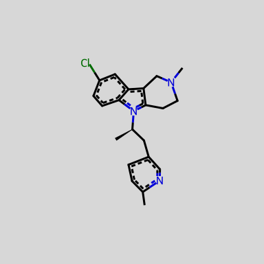 Cc1ccc(C[C@@H](C)n2c3c(c4cc(Cl)ccc42)CN(C)CC3)cn1